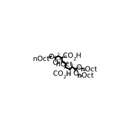 CCCCCCCCOC(CC(CCCC(CC(OCCCCCCCC)OCCCCCCCC)C(=O)O)C(=O)O)OCCCCCCCC